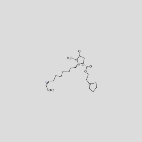 CCCCCCCC/C=C\CCCCCCC[C@@H]1[C@@H](C(=O)OCCN2CCCC2)CC(=O)N1C